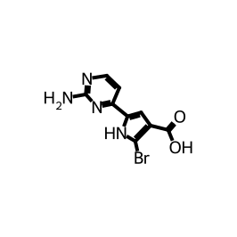 Nc1nccc(-c2cc(C(=O)O)c(Br)[nH]2)n1